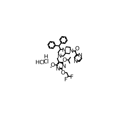 COc1nc(OCC(F)F)nc(OC(C)C)c1CN1CC2CN(C(=O)c3cnccn3)CCN2C(C(c2ccccc2)c2ccccc2)C1.Cl.Cl